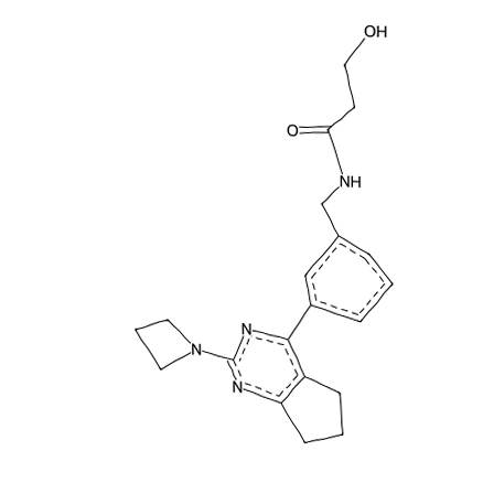 O=C(CCO)NCc1cccc(-c2nc(N3CCC3)nc3c2CCC3)c1